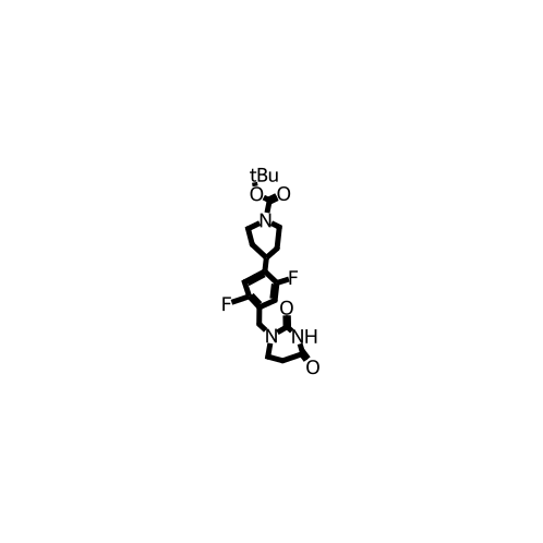 CC(C)(C)OC(=O)N1CCC(c2cc(F)c(CN3CCC(=O)NC3=O)cc2F)CC1